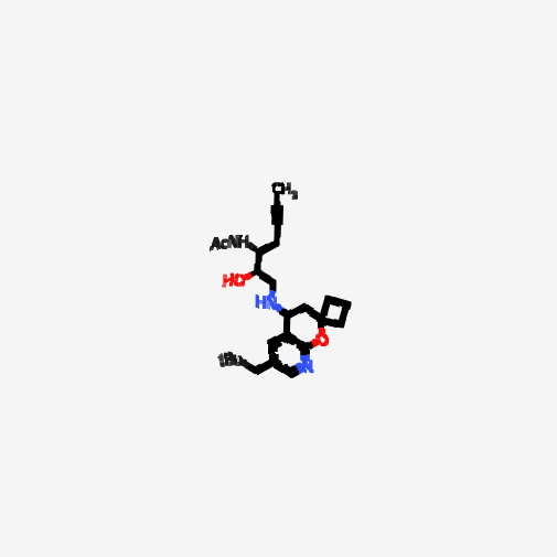 CC#CC[C@H](NC(C)=O)[C@H](O)CNC1CC2(CCC2)Oc2ncc(CC(C)(C)C)cc21